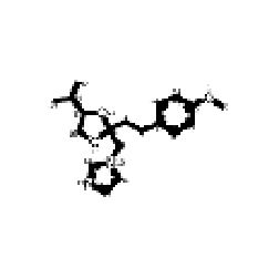 COc1ccc(CCC2(Cn3ccnc3)OCC(C(C)C)O2)cc1